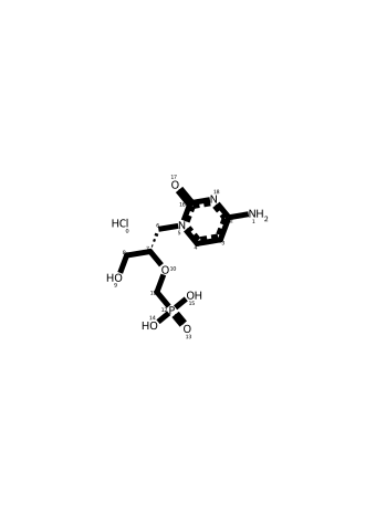 Cl.Nc1ccn(C[C@@H](CO)OCP(=O)(O)O)c(=O)n1